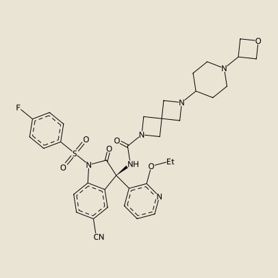 CCOc1ncccc1[C@@]1(NC(=O)N2CC3(C2)CN(C2CCN(C4COC4)CC2)C3)C(=O)N(S(=O)(=O)c2ccc(F)cc2)c2ccc(C#N)cc21